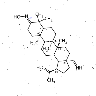 C=C(C)[C@@H]1CC[C@]2(C=N)CC[C@]3(C)C(CCC4[C@@]5(C)CC/C(=N\O)C(C)(C)C5CC[C@]43C)C12